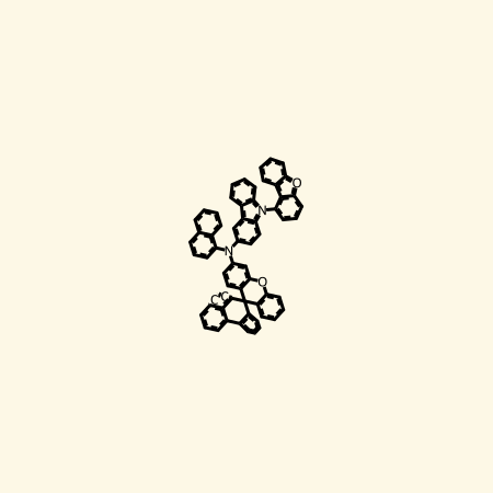 c1ccc2c(c1)Oc1cc(N(c3ccc4c(c3)c3ccccc3n4-c3cccc4oc5ccccc5c34)c3cccc4ccccc34)ccc1C21c2ccccc2-c2cccc3cccc1c23